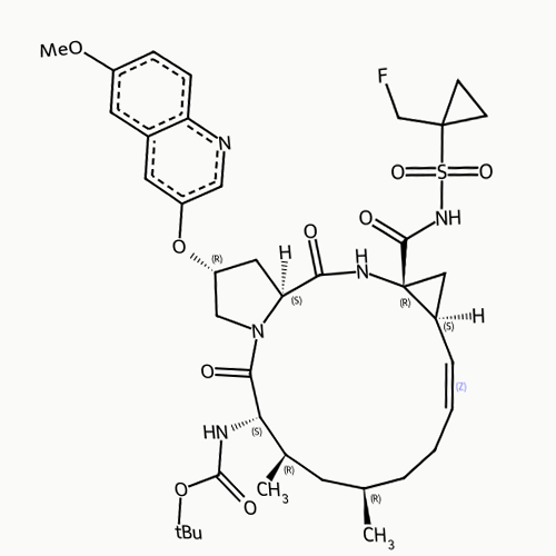 COc1ccc2ncc(O[C@@H]3C[C@H]4C(=O)N[C@]5(C(=O)NS(=O)(=O)C6(CF)CC6)C[C@H]5/C=C\CC[C@@H](C)C[C@@H](C)[C@H](NC(=O)OC(C)(C)C)C(=O)N4C3)cc2c1